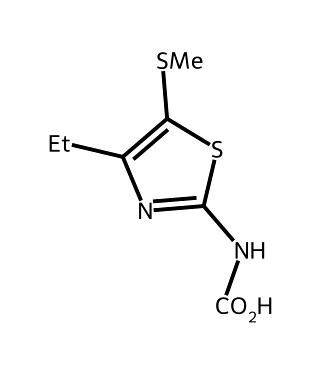 CCc1nc(NC(=O)O)sc1SC